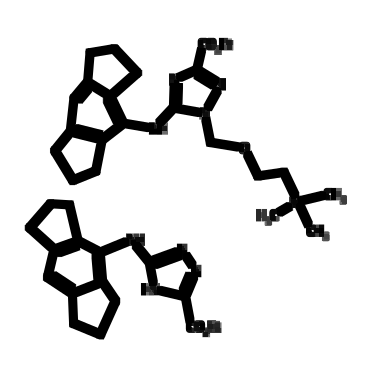 CCOC(=O)c1nc(Nc2c3c(cc4c2CCC4)CCC3)n(COCC[Si](C)(C)C)n1.CCOC(=O)c1nnc(Nc2c3c(cc4c2CCC4)CCC3)[nH]1